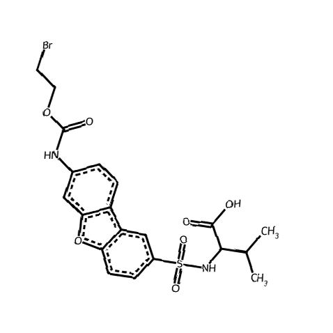 CC(C)C(NS(=O)(=O)c1ccc2oc3cc(NC(=O)OCCBr)ccc3c2c1)C(=O)O